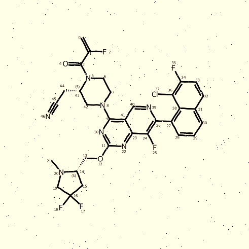 C=C(F)C(=O)N1CCN(c2nc(OC[C@@H]3CC(F)(F)CN3C)nc3c(F)c(-c4cccc5ccc(F)c(Cl)c45)ncc23)C[C@@H]1CC#N